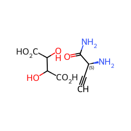 C#C[C@H](N)C(N)=O.O=C(O)C(O)C(O)C(=O)O